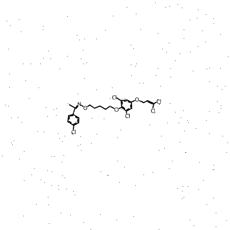 CC(=NOCCCCCOc1c(Cl)cc(OCC=C(Cl)Cl)cc1Cl)c1ccc(Cl)cc1